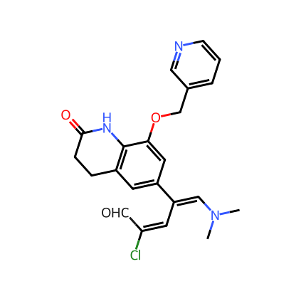 CN(C)/C=C(\C=C(\Cl)C=O)c1cc2c(c(OCc3cccnc3)c1)NC(=O)CC2